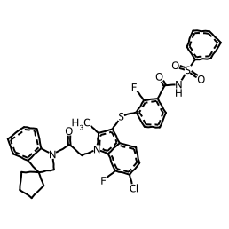 Cc1c(Sc2cccc(C(=O)NS(=O)(=O)c3ccccc3)c2F)c2ccc(Cl)c(F)c2n1CC(=O)N1CC2(CCCC2)c2ccccc21